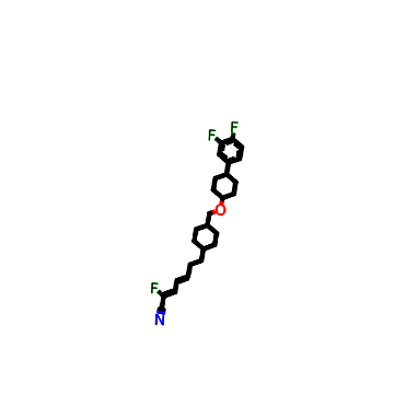 N#CC(F)=CC=CCCC1CCC(COC2CCC(c3ccc(F)c(F)c3)CC2)CC1